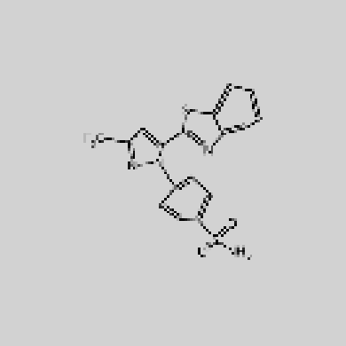 NS(=O)(=O)c1ccc(-n2nc(C(F)(F)F)cc2-c2nc3ccccc3s2)cc1